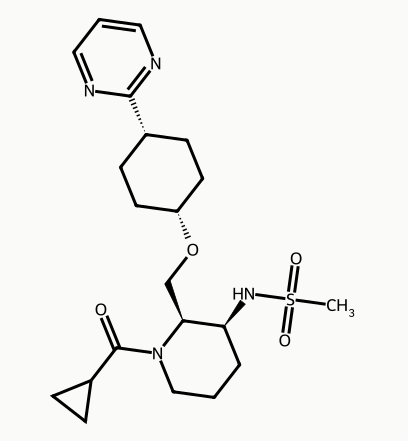 CS(=O)(=O)N[C@H]1CCCN(C(=O)C2CC2)[C@H]1CO[C@H]1CC[C@@H](c2ncccn2)CC1